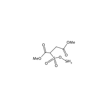 COC(=O)CC(C(=O)OC)S(=O)(=O)O[SiH3]